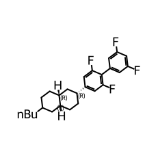 CCCCC1CC[C@@H]2C[C@H](c3cc(F)c(-c4cc(F)cc(F)c4)c(F)c3)CC[C@@H]2C1